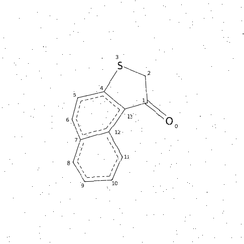 O=C1CSc2ccc3ccccc3c21